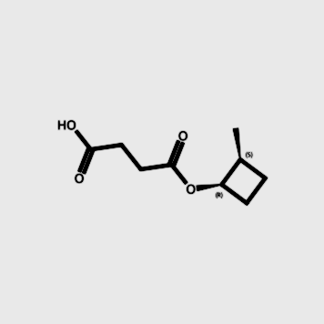 C[C@H]1CC[C@H]1OC(=O)CCC(=O)O